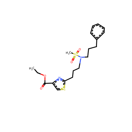 CCOC(=O)c1csc(CCCN(CCCc2ccccc2)S(C)(=O)=O)n1